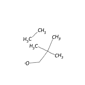 CC.CC(C)(C)C[O]